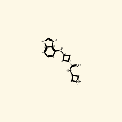 O=C(NC1CNC1)[C@H]1C[C@H](Oc2cccc3scnc23)C1